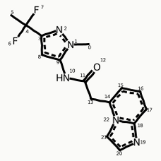 Cn1nc(C(C)(F)F)cc1NC(=O)Cc1cccc2nccn12